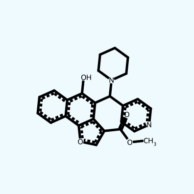 COC(=O)c1coc2c1c(C(c1ccncc1)N1CCCCC1)c(O)c1ccccc12